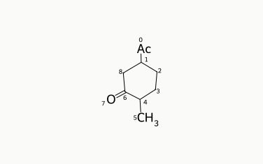 CC(=O)C1CCC(C)C(=O)C1